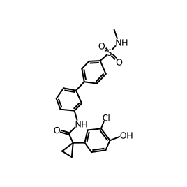 CNS(=O)(=O)c1ccc(-c2cccc(NC(=O)C3(c4ccc(O)c(Cl)c4)CC3)c2)cc1